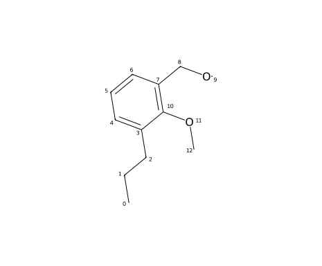 CCCc1cccc(C[O])c1OC